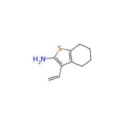 C=Cc1c(N)sc2c1CCCC2